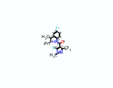 CC(C)CC(C)c1cc(F)ccc1NC(=O)c1c(C(F)(F)F)nn(C)c1F